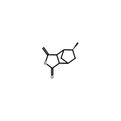 C=C1OC(=O)C2C3CC(C12)[C@@H](C)C3